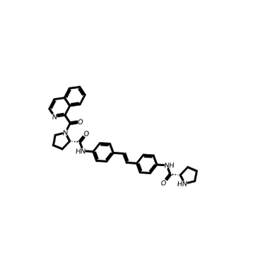 O=C(Nc1ccc(/C=C/c2ccc(NC(=O)[C@@H]3CCCN3C(=O)c3nccc4ccccc34)cc2)cc1)[C@@H]1CCCN1